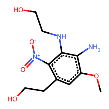 COc1cc(CCO)c([N+](=O)[O-])c(NCCO)c1N